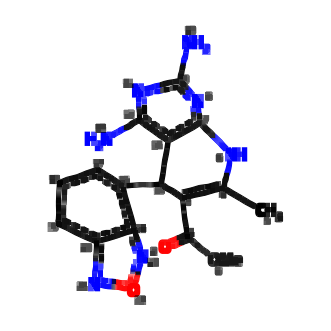 COC(=O)C1=C(C)Nc2nc(N)nc(N)c2C1c1cccc2nonc12